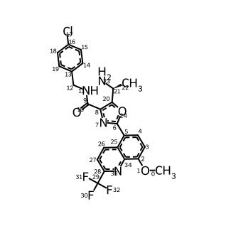 COc1ccc(-c2nc(C(=O)NCc3ccc(Cl)cc3)c([C@H](C)N)o2)c2ccc(C(F)(F)F)nc12